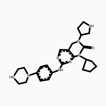 O=C1N(C2CCNC2)Cc2cnc(Nc3ccc(N4CCNCC4)cc3)nc2N1C1CCCC1